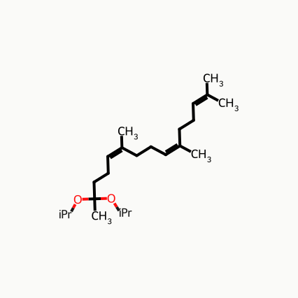 CC(C)=CCCC(C)=CCCC(C)=CCCC(C)(OC(C)C)OC(C)C